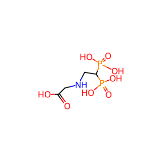 O=C(O)CNCC(P(=O)(O)O)P(=O)(O)O